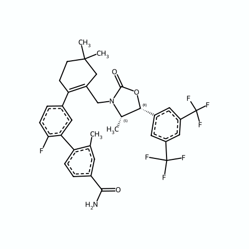 Cc1cc(C(N)=O)ccc1-c1cc(C2=C(CN3C(=O)O[C@H](c4cc(C(F)(F)F)cc(C(F)(F)F)c4)[C@@H]3C)CC(C)(C)CC2)ccc1F